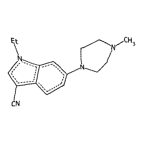 CCn1cc(C#N)c2ccc(N3CCN(C)CC3)cc21